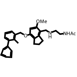 COc1cc(OCc2cccc(-c3ccccc3)c2C)c2c(c1CNCCNC(C)=O)CCC2